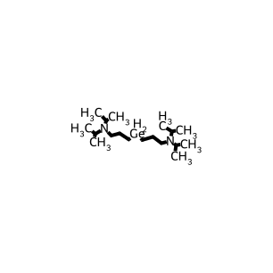 CC(C)N(CC[CH2][GeH2][CH2]CCN(C(C)C)C(C)C)C(C)C